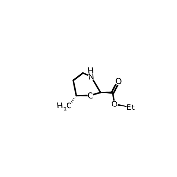 CCOC(=O)[C@H]1C[C@H](C)CCN1